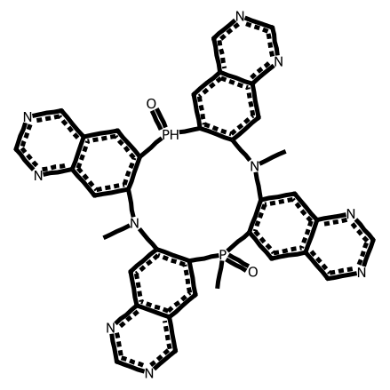 CN1c2cc3ncncc3cc2[PH](=O)c2cc3cncnc3cc2N(C)c2cc3ncncc3cc2P(C)(=O)c2cc3cncnc3cc21